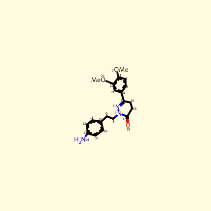 COc1ccc(C2=NN(CCc3ccc(N)cc3)C(=O)CC2)cc1OC